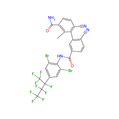 Cc1c(C(N)=O)ccc(C#N)c1-c1cc(C(=O)Nc2c(Br)cc(C(F)(C(F)(F)F)C(F)(F)C(F)(F)F)cc2Br)ccc1C#N